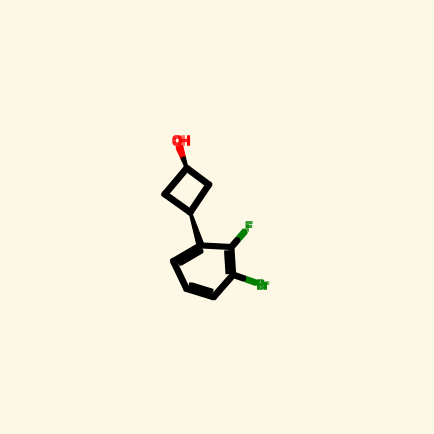 O[C@H]1C[C@@H](c2cccc(Br)c2F)C1